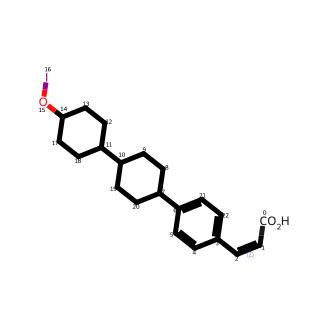 O=C(O)/C=C\c1ccc(C2CCC(C3CCC(OI)CC3)CC2)cc1